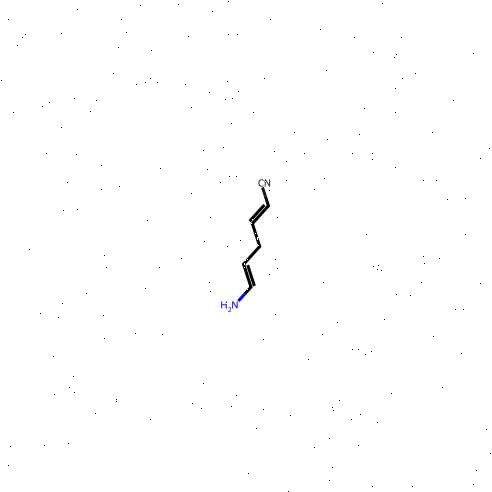 N#CC=CCC=CN